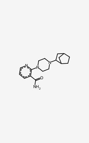 NC(=O)c1cccnc1N1CCN(C2CC3CCC2C3)CC1